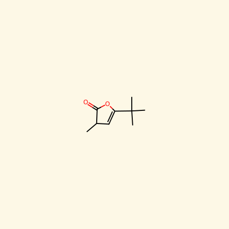 CC1C=C(C(C)(C)C)OC1=O